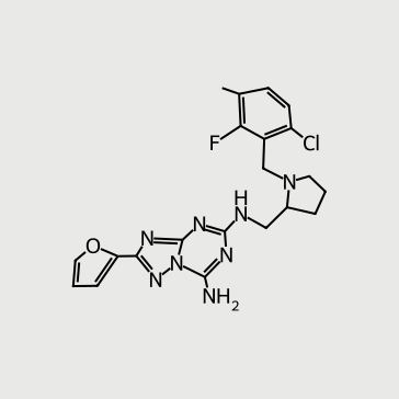 Cc1ccc(Cl)c(CN2CCCC2CNc2nc(N)n3nc(-c4ccco4)nc3n2)c1F